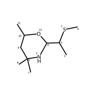 CSC(C)C1NC(C)(C)CC(C)O1